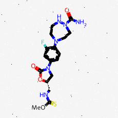 COC(=S)NC[C@H]1CN(c2ccc(N3CCNN(C(N)=O)CC3)c(F)c2)C(=O)O1